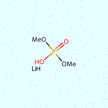 COP(=O)(O)OC.[LiH]